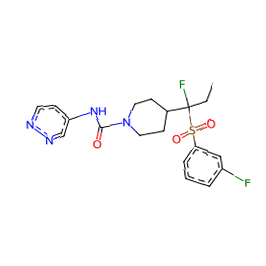 CCC(F)(C1CCN(C(=O)Nc2ccnnc2)CC1)S(=O)(=O)c1cccc(F)c1